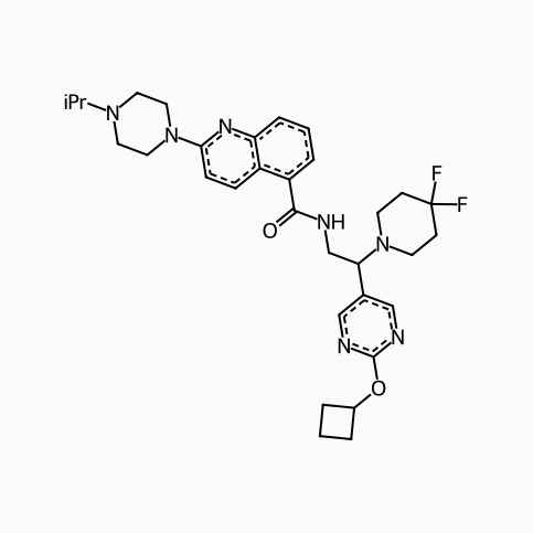 CC(C)N1CCN(c2ccc3c(C(=O)NCC(c4cnc(OC5CCC5)nc4)N4CCC(F)(F)CC4)cccc3n2)CC1